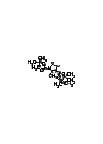 CC1=C(B2OC(C)(C)C(C)(C)O2)CCN1C(=O)OC(C)(C)C